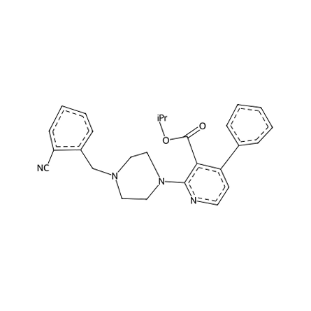 CC(C)OC(=O)c1c(-c2ccccc2)ccnc1N1CCN(Cc2ccccc2C#N)CC1